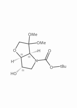 COC1(OC)CO[C@H]2[C@@H]1N(C(=O)OC(C)(C)C)C[C@@H]2O